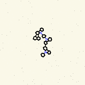 c1ccc(-n2c3ccccc3c3cc(-c4ccc5c(c4)c4ccccc4n5-c4ccc(-n5c6ccccc6c6ccc7c(c65)-c5cccc6cccc-7c56)cc4)ccc32)cc1